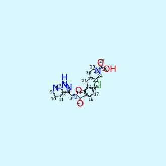 O=C1/C(=C/c2n[nH]c3ncccc23)Oc2c1ccc(Cl)c2CC1CCN(C(=O)O)CC1